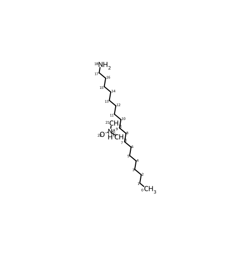 CCCCCCCCCCCCCCCCCCN.C[NH+](C)[O-]